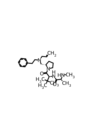 C=CCN(CCc1ccccc1)C[C@@H]1CCCN1C(=O)[C@@H](NC(=O)[C@H](C)NC)C(C)(C)C